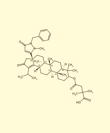 CC(C)C1=C2[C@H]3CC[C@@H]4[C@@]5(C)CCC(OC(=O)CC(C)(C)C(=O)O)C(C)(C)[C@@H]5CC[C@@]4(C)[C@]3(C)CC[C@@]2(c2cc(=O)n(Cc3ccccc3)n2C)CC1=O